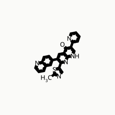 Cc1ncc(-c2nc3[nH]cc(-c4ccccn4)c(=O)c3cc2-c2ccc3ncccc3c2)s1